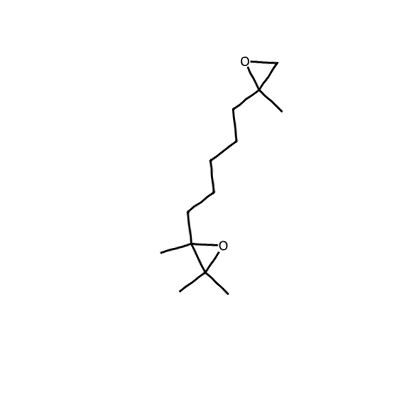 CC1(CCCCCC2(C)OC2(C)C)CO1